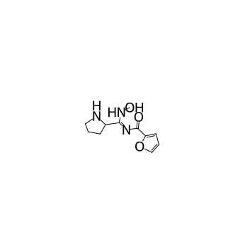 O=C(N=C(NO)C1CCCN1)c1ccco1